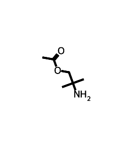 CC(=O)OCC(C)(C)N